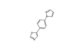 c1cnn(-c2ccc(-c3cnco3)cc2)c1